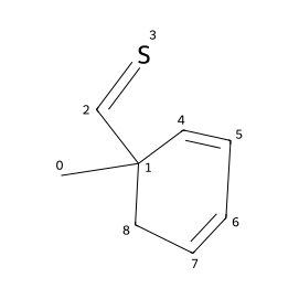 CC1(C=S)C=CC=CC1